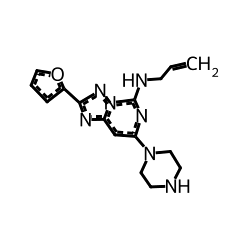 C=CCNc1nc(N2CCNCC2)cc2nc(-c3ccco3)nn12